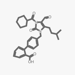 CC(C)CCc1c(C=O)n(C(=O)C2CCCCC2)c(=O)n1Cc1ccc(-c2ccccc2C(=O)O)cc1